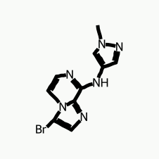 Cn1cc(Nc2nccn3c(Br)cnc23)cn1